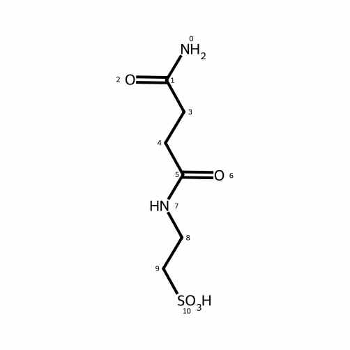 NC(=O)CCC(=O)NCCS(=O)(=O)O